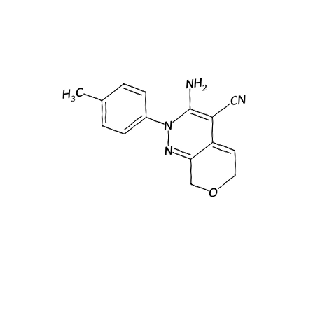 Cc1ccc(N2N=C3COCC=C3C(C#N)=C2N)cc1